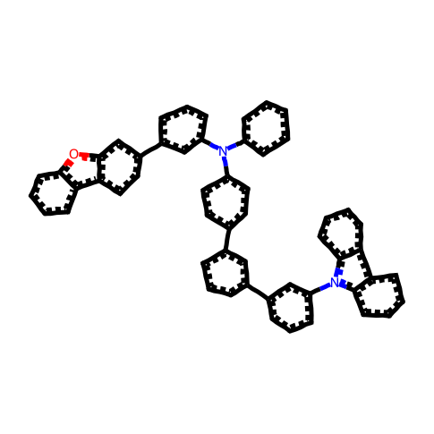 c1ccc(N(c2ccc(-c3cccc(-c4cccc(-n5c6ccccc6c6ccccc65)c4)c3)cc2)c2cccc(-c3ccc4c(c3)oc3ccccc34)c2)cc1